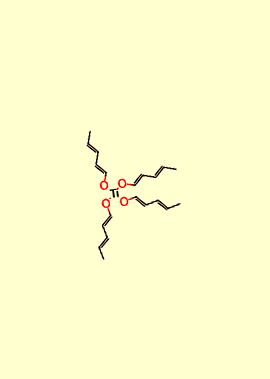 C/C=C/C=C/[O][Ti]([O]/C=C/C=C/C)([O]/C=C/C=C/C)[O]/C=C/C=C/C